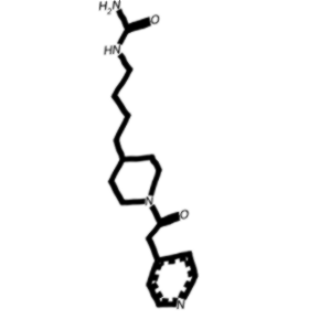 NC(=O)NCCCCC1CCN(C(=O)Cc2ccncc2)CC1